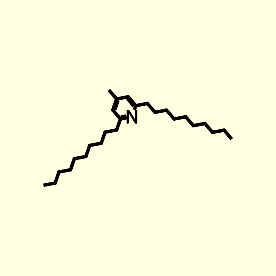 CCCCCCCCCCc1cc(C)cc(CCCCCCCCCC)n1